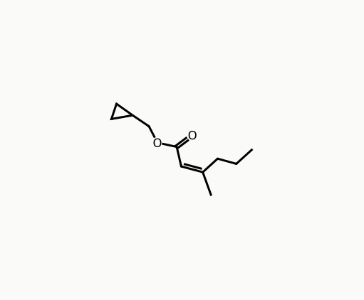 CCCC(C)=CC(=O)OCC1CC1